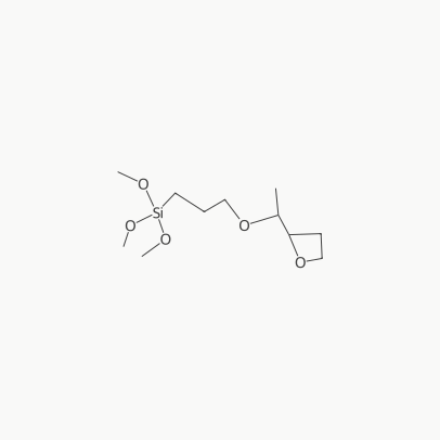 CO[Si](CCCOC(C)C1CCO1)(OC)OC